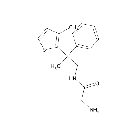 Cc1ccsc1C(C)(CNC(=O)CN)c1ccccc1